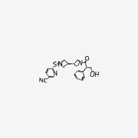 N#Cc1ccc(SN2CC(=C3CN(C(=O)C(CO)c4ccccc4)C3)C2)nc1